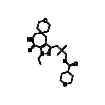 CCn1nc(CC(C)(C)COC(=O)C2CCOCC2)c2c1C(=O)NCC1(CCOCC1)C2